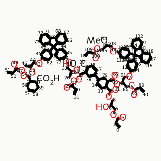 C=CC(=O)OCC(O)COC(=O)c1ccc(-c2ccc(C(=O)O)c(C(=O)OC(COC(=O)C=C)COc3ccc(C4(c5ccc(OCC(COC(=O)C=C)OC(=O)C6CC=CCC6C(=O)O)cc5)c5ccccc5-c5ccccc54)cc3)c2)cc1C(=O)OC(COC(=O)C=C)COc1ccc(C2(c3ccc(OCC(COC(=O)C=C)OC)cc3)c3ccccc3-c3ccccc32)cc1